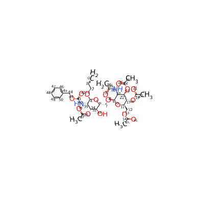 C=CCO[C@H]1O[C@H](CO[C@@H]2O[C@H](COC(C)=O)[C@@H](OC(C)=O)[C@H](OC(C)=O)[C@@H]2NC(C)=O)[C@@H](O)[C@H](OC(C)=O)[C@@H]1NC(=O)OCc1ccccc1